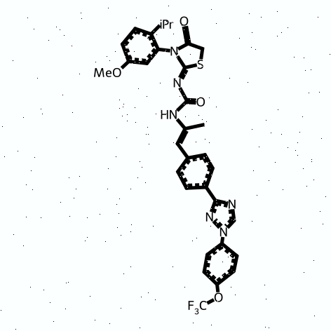 COc1ccc(C(C)C)c(N2C(=O)CS/C2=N\C(=O)N/C(C)=C/c2ccc(-c3ncn(-c4ccc(OC(F)(F)F)cc4)n3)cc2)c1